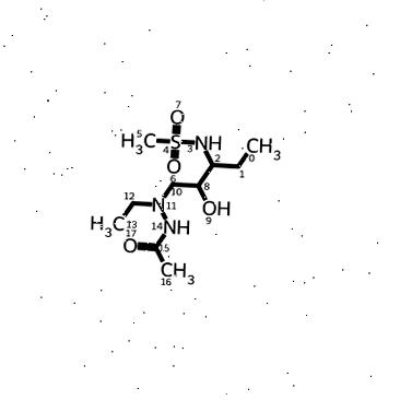 CCC(NS(C)(=O)=O)C(O)CN(CC)NC(C)=O